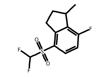 CC1CCc2c(S(=O)(=O)C(F)F)ccc(F)c21